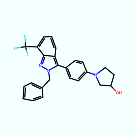 OC1CCN(c2ccc(-c3c4cccc(C(F)(F)F)c4nn3Cc3ccccc3)cc2)C1